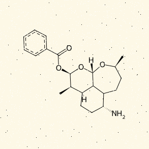 C[C@H]1[C@@H](OC(=O)c2ccccc2)O[C@@H]2O[C@@H](C)CCC3C2[C@H]1CC[C@H]3N